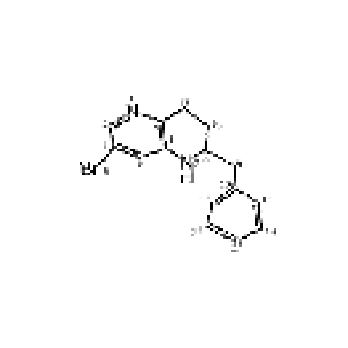 Brc1cnc2c(c1)NC(Cc1ccccc1)CC2